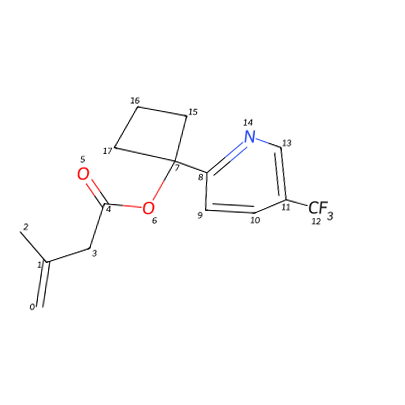 C=C(C)CC(=O)OC1(c2ccc(C(F)(F)F)cn2)CCC1